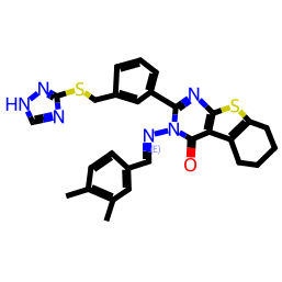 Cc1ccc(/C=N/n2c(-c3cccc(CSc4nc[nH]n4)c3)nc3sc4c(c3c2=O)CCCC4)cc1C